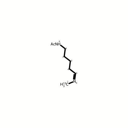 CC(=O)NCCCC/C=N\[13CH3]